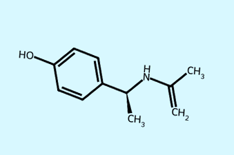 C=C(C)N[C@@H](C)c1ccc(O)cc1